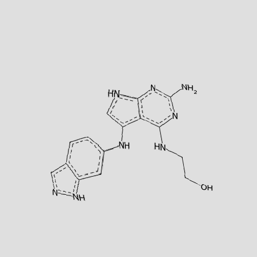 Nc1nc(NCCO)c2c(Nc3ccc4cn[nH]c4c3)c[nH]c2n1